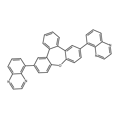 c1ccc2c(c1)-c1cc(-c3cccc4nccnc34)ccc1Oc1ccc(-c3cccc4nccnc34)cc1-2